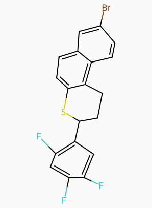 Fc1cc(F)c(C2CCc3c(ccc4cc(Br)ccc34)S2)cc1F